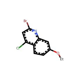 CCOc1ccc2c(Cl)cc(Br)nc2c1